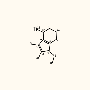 CCC1C(C)=C(C)C2=C1CCC[CH]2[Ti]